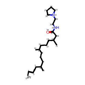 CC(C)CCCC(C)CCCC(C)CCCC(C)CC(=O)NCCN1CCCC1